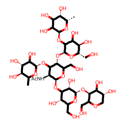 CC(=O)N[C@H]1C(O[C@@H]2OC(C)[C@@H](O)[C@H](O)C2O)[C@H](O[C@@H]2O[C@@H](CO)[C@H](O)C(O)C2O[C@@H]2O[C@@H](C)[C@@H](O)C(O)C2O)C(CO)O[C@H]1OC1[C@@H](O)C(CO)O[C@@H](O[C@@H]2C(CO)OC[C@@H](O)C2O)[C@H]1O